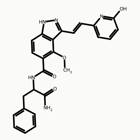 COc1c(C(=O)NC(Cc2ccccc2)C(N)=O)ccc2[nH]nc(/C=C/c3cccc(O)n3)c12